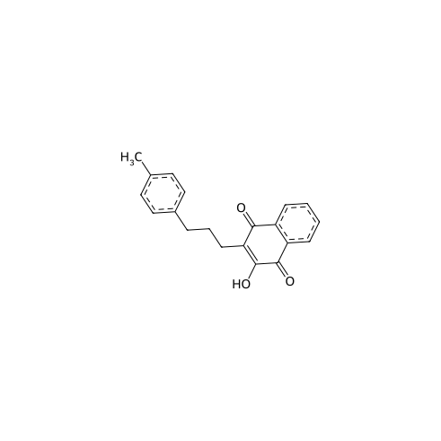 Cc1ccc(CCCC2=C(O)C(=O)c3ccccc3C2=O)cc1